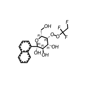 OC[C@H]1O[C@](O)(c2cccc3ccccc23)[C@H](O)[C@@H](O)[C@H]1OOC(F)(F)CF